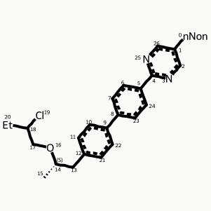 CCCCCCCCCc1cnc(-c2ccc(-c3ccc(C[C@H](C)OCC(Cl)CC)cc3)cc2)nc1